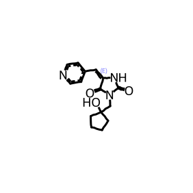 O=C1N/C(=C/c2ccncc2)C(=O)N1CC1(O)CCCC1